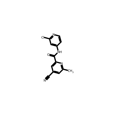 Cc1cc(C#N)cc(C(=O)Nc2ccnc(Cl)c2)n1